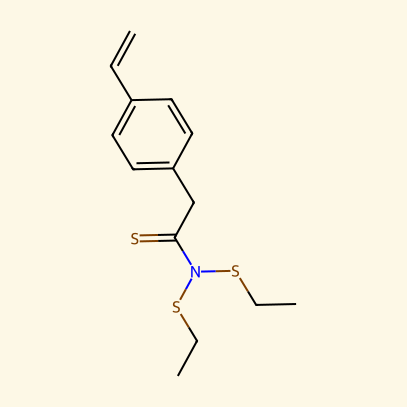 C=Cc1ccc(CC(=S)N(SCC)SCC)cc1